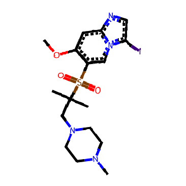 COc1cc2ncc(I)n2cc1S(=O)(=O)C(C)(C)CN1CCN(C)CC1